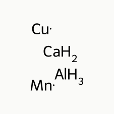 [AlH3].[CaH2].[Cu].[Mn]